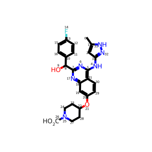 Cc1cc(Nc2nc(C(O)c3ccc(F)cc3)nc3cc(OC4CCN(C(=O)O)CC4)ccc23)n[nH]1